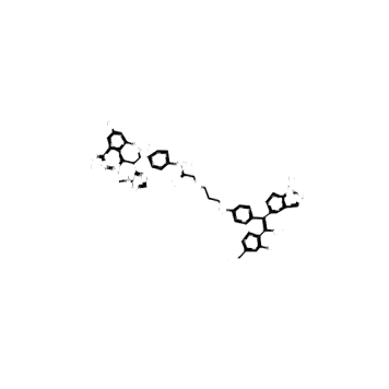 CC/C(=C(/c1ccc(OCCCOCC(=O)Nc2ccc([C@H]3Nc4cc(F)cc5c(=O)[nH]nc(c45)[C@@H]3c3ncnn3C)cc2)cc1)c1ccc2[nH]ncc2c1)c1ccc(Cl)cc1F